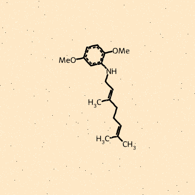 COc1ccc(OC)c(NC/C=C(\C)CCC=C(C)C)c1